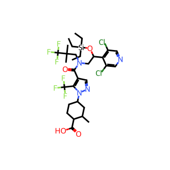 CC[Si](CC)(CC)OC(CN(CC(C)(C)C(F)(F)F)C(=O)c1cnn(C2CCC(C(=O)O)C(C)C2)c1C(F)(F)F)c1c(Cl)cncc1Cl